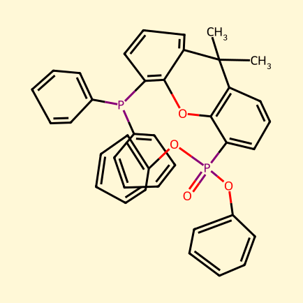 CC1(C)c2cccc(P(c3ccccc3)c3ccccc3)c2Oc2c1cccc2P(=O)(Oc1ccccc1)Oc1ccccc1